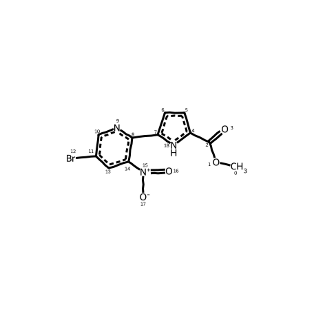 COC(=O)c1ccc(-c2ncc(Br)cc2[N+](=O)[O-])[nH]1